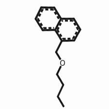 CCCCOCc1cccc2ccccc12